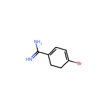 N=C(N)C1=CC=C(Br)CC1